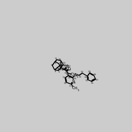 COC(=O)[C@]12CC3CC(C1)[C@@H](NC(=O)c1ccc(C)nc1SCCc1ccccc1)C(C3)C2